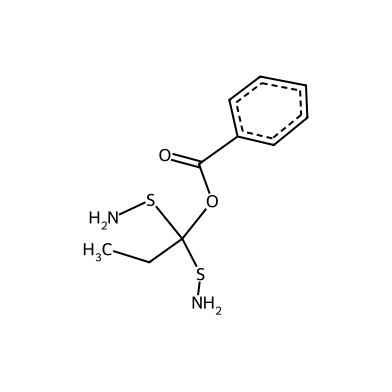 CCC(OC(=O)c1ccccc1)(SN)SN